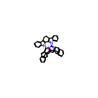 c1ccc(-c2cc(-c3ccccc3)cc(-n3c4c(c5ccccc53)CCc3c-4n(-c4nc(-c5ccccc5)cc(-c5ccccc5)n4)c4ccccc34)c2)cc1